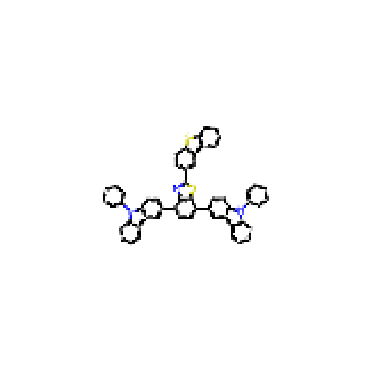 c1ccc(-n2c3ccccc3c3cc(-c4ccc(-c5ccc6c(c5)c5ccccc5n6-c5ccccc5)c5sc(-c6ccc7sc8ccccc8c7c6)nc45)ccc32)cc1